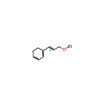 CCOC/C=C/C1=CC=CCC1